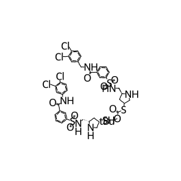 CC(C)(C)OC(=O)S[C@@H]1CN[C@H](CNS(=O)(=O)c2cccc(C(=O)NCc3ccc(Cl)c(Cl)c3)c2)C1.O=C(Nc1ccc(Cl)c(Cl)c1)c1cccc(S(=O)(=O)NC[C@@H]2C[C@H](S)CN2)c1